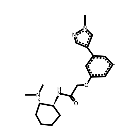 CN(C)[C@H]1CCCC[C@@H]1NC(=O)COc1c[c]cc(-c2cnn(C)c2)c1